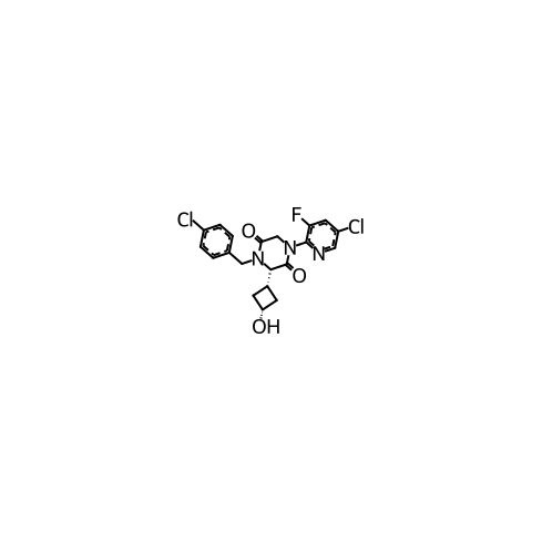 O=C1C([C@H]2C[C@@H](O)C2)N(Cc2ccc(Cl)cc2)C(=O)CN1c1ncc(Cl)cc1F